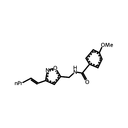 CCCC=Cc1cc(CNC(=O)c2ccc(OC)cc2)on1